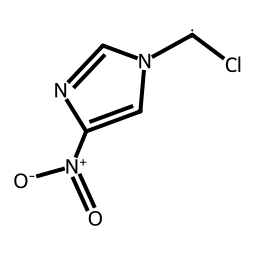 O=[N+]([O-])c1cn([CH]Cl)cn1